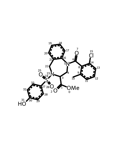 COC(=O)C1CN(C(=O)c2c(C)cccc2Cl)c2ccccc2CN1S(=O)(=O)c1ccc(O)cc1